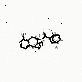 CC1(C)[C@H]2Cc3c(O)cccc3[C@]1(C)CCN2C(=O)C1C[C@@H]2C=C[C@@H]1C2